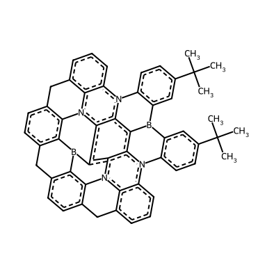 CC(C)(C)c1ccc2c(c1)B1c3cc(C(C)(C)C)ccc3-n3c4cccc5c4n4c6c7c8c(c1c63)n-2c1cccc2c1n8-c1c(ccc3c1B7c1c(ccc(c1-4)C5)C3)C2